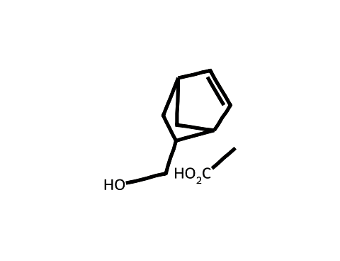 CC(=O)O.OCC1CC2C=CC1C2